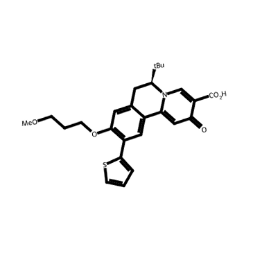 COCCCOc1cc2c(cc1-c1cccs1)-c1cc(=O)c(C(=O)O)cn1[C@H](C(C)(C)C)C2